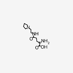 N[C@@H](CCC(=O)NCCN1CCCC1)C(=O)O